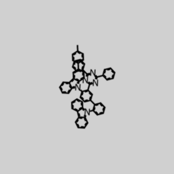 Cc1ccc(-c2ccc3c(c2)c2ccccc2n3-c2ccc(-c3ccccc3-n3c4ccccc4c4ccccc43)cc2-c2nc(-c3ccccc3)nc(-c3ccccc3)n2)cc1